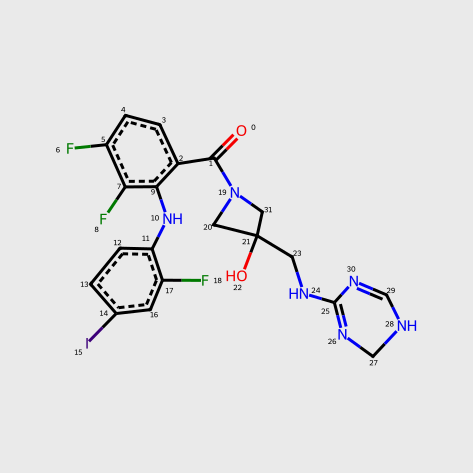 O=C(c1ccc(F)c(F)c1Nc1ccc(I)cc1F)N1CC(O)(CNC2=NCNC=N2)C1